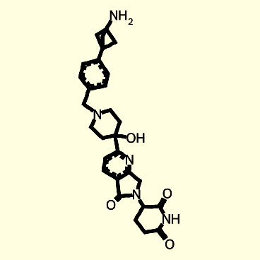 NC12CC(c3ccc(CN4CCC(O)(c5ccc6c(n5)CN(C5CCC(=O)NC5=O)C6=O)CC4)cc3)(C1)C2